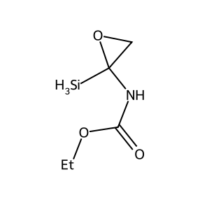 CCOC(=O)NC1([SiH3])CO1